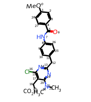 COc1ccc(C(=O)Nc2ccc(Cc3nc(Cl)c(CC(=O)O)c(N(C)C)n3)cc2)cc1